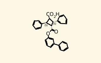 O=C(O)[C@H]1[C@H](c2ccccc2)[C@H](C(=O)Oc2cccc(-c3ccccc3)c2)[C@H]1c1ccccc1